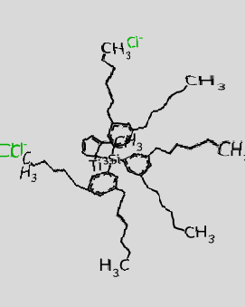 CCCCCCc1cc(CCCCCC)cc([Si](c2cc(CCCCCC)cc(CCCCCC)c2)(c2cc(CCCCCC)cc(CCCCCC)c2)[C]2([Ti+3])C=CC=C2C)c1.[Cl-].[Cl-].[Cl-]